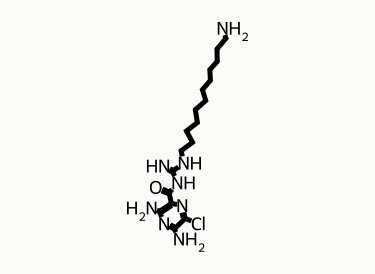 N=C(NCCCCCCCCCCCCN)NC(=O)c1nc(Cl)c(N)nc1N